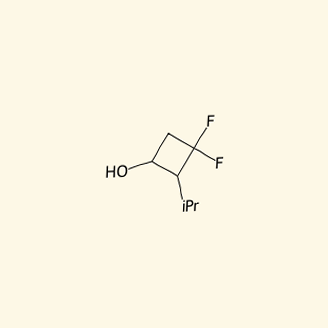 CC(C)C1C(O)CC1(F)F